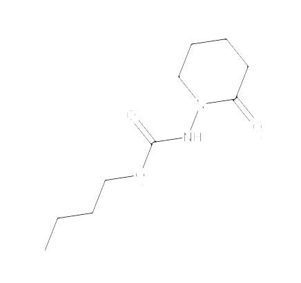 CCCCOC(=O)NN1CCCCC1=O